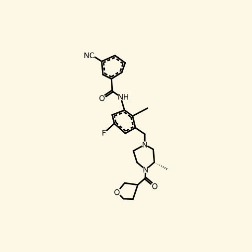 Cc1c(CN2CCN(C(=O)C3CCOC3)[C@@H](C)C2)cc(F)cc1NC(=O)c1cccc(C#N)c1